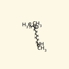 CCNCCCCCCCC(=O)C(C)CC